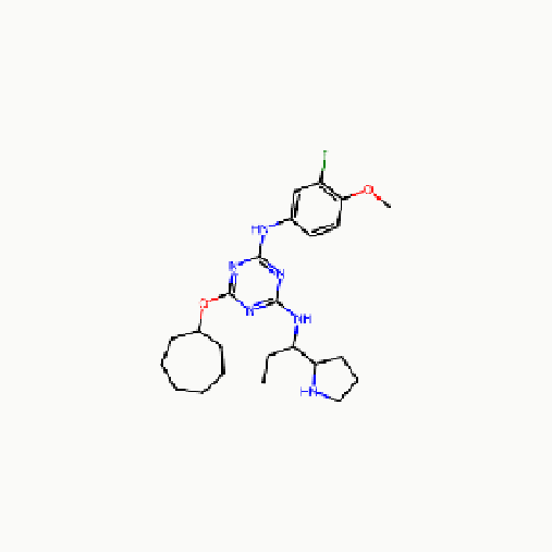 CCC(Nc1nc(Nc2ccc(OC)c(F)c2)nc(OC2CCCCCC2)n1)C1CCCN1